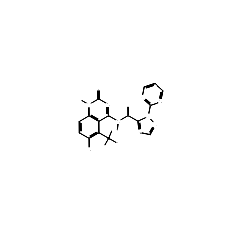 CC(c1ncnn1-c1ncccn1)N(C)c1nc(=O)n(C)c2ccc(Br)c(C(F)(F)F)c12